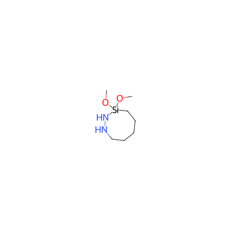 CO[Si]1(OC)CCCCCNN1